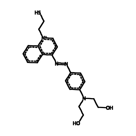 OCCN(CCO)c1ccc(/N=N/c2cc[n+](CCS)c3ccccc23)cc1